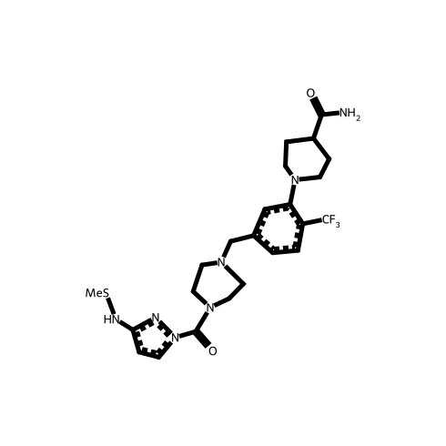 CSNc1ccn(C(=O)N2CCN(Cc3ccc(C(F)(F)F)c(N4CCC(C(N)=O)CC4)c3)CC2)n1